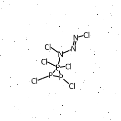 ClN=NN(Cl)P1(Cl)(Cl)P(Cl)P1Cl